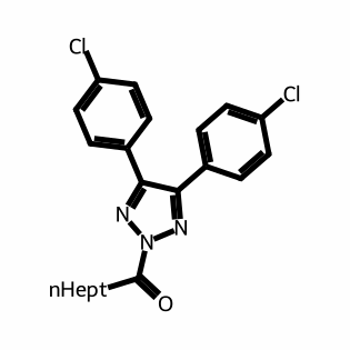 CCCCCCCC(=O)n1nc(-c2ccc(Cl)cc2)c(-c2ccc(Cl)cc2)n1